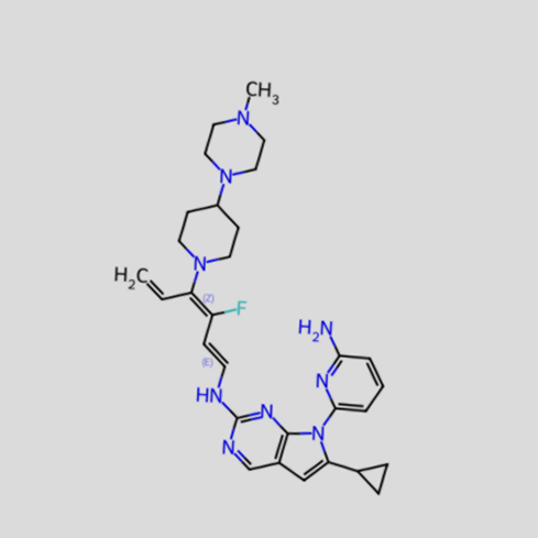 C=C/C(=C(F)\C=C\Nc1ncc2cc(C3CC3)n(-c3cccc(N)n3)c2n1)N1CCC(N2CCN(C)CC2)CC1